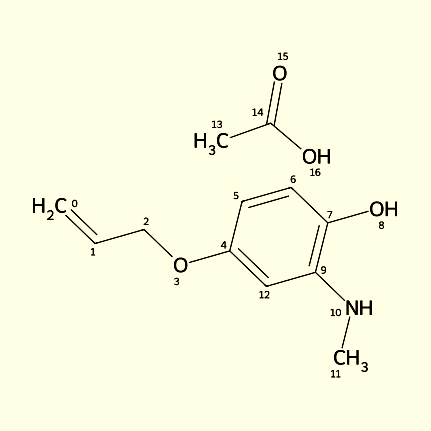 C=CCOc1ccc(O)c(NC)c1.CC(=O)O